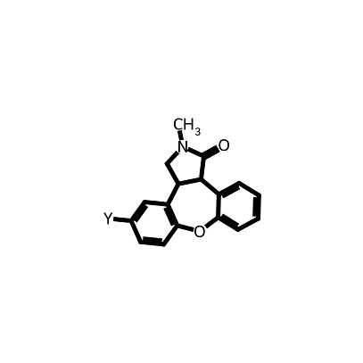 CN1CC2c3c[c]([Y])ccc3Oc3ccccc3C2C1=O